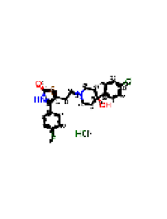 Cl.O=c1[nH]c(-c2ccc(F)cc2)c(CCN2CCC(O)(c3ccc(Cl)cc3)CC2)s1